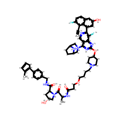 C#Cc1c(F)ccc2cc(O)cc(-c3ncc4c(N5CC6CCC(C5)N6)nc(OC5CCN(CCCCOCCC(=O)NC(C(=O)N6C[C@H](O)CC6C(=O)NCc6ccc(C7=C(C)C=CC7)cc6)C(C)(C)C)CC5)nc4c3F)c12